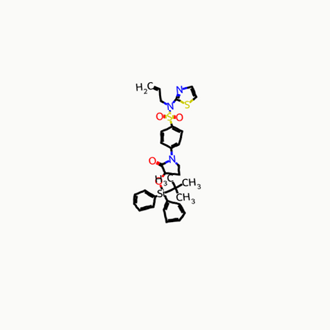 C=CCN(c1nccs1)S(=O)(=O)c1ccc(N2CCC(O[Si](c3ccccc3)(c3ccccc3)C(C)(C)C)C2=O)cc1